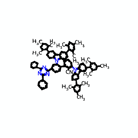 Cc1cc(C)c(-c2ccc3c(c2)c2cc(-c4c(C)cc(C)cc4C)ccc2n3-c2cc(-c3nc(-c4ccccc4)nc(-c4ccccc4)n3)ccc2-c2cccc(-n3c4ccc(-c5c(C)cc(C)cc5C)cc4c4cc(-c5c(C)cc(C)cc5C)ccc43)c2C#N)c(C)c1